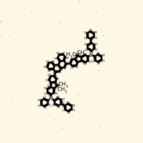 CC1(C)c2cc(-c3cc4cc(-c5ccc6c(c5)C(C)(C)c5cc(N(c7ccccc7)c7ccc(-c8ccccc8)cc7)ccc5-6)c5ccccc5c4c4ccccc34)ccc2-c2ccc(N(c3ccccc3)c3ccc(-c4ccccc4)cc3)cc21